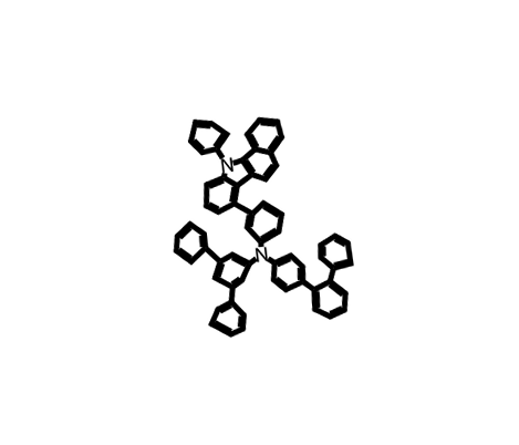 c1ccc(-c2cc(-c3ccccc3)cc(N(c3ccc(-c4ccccc4-c4ccccc4)cc3)c3cccc(-c4cccc5c4c4ccc6ccccc6c4n5-c4ccccc4)c3)c2)cc1